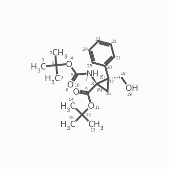 CC(C)(C)OC(=O)N[C@]1(C(=O)OC(C)(C)C)C[C@]1(CO)c1ccccc1